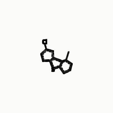 Cc1cccc2sc3ccc(Cl)cc3c12